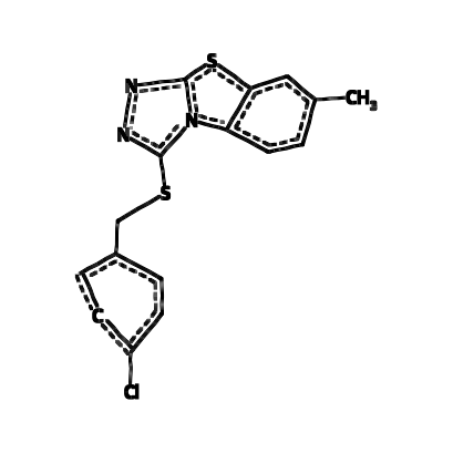 Cc1ccc2c(c1)sc1nnc(SCc3ccc(Cl)cc3)n12